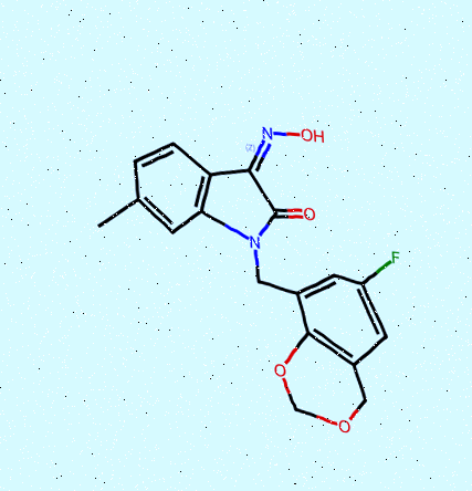 Cc1ccc2c(c1)N(Cc1cc(F)cc3c1OCOC3)C(=O)/C2=N\O